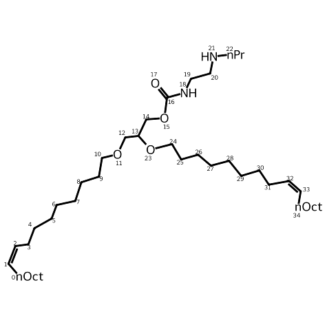 CCCCCCCC/C=C\CCCCCCCCOCC(COC(=O)NCCNCCC)OCCCCCCCC/C=C\CCCCCCCC